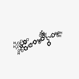 Cc1c(C(=O)O)c(-c2cccc(N3CCN(c4ccc(N[S+]([O-])c5ccc(N[C@H](CCN6CCC(OP(O)O)CC6)CSc6ccccc6)c(S(=O)(=O)C(F)(F)F)c5)cc4)CC3)c2)c(-c2ccc(Cl)cc2)n1C(C)C